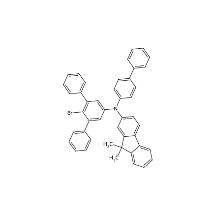 CC1(C)c2ccccc2-c2ccc(N(c3ccc(-c4ccccc4)cc3)c3cc(-c4ccccc4)c(Br)c(-c4ccccc4)c3)cc21